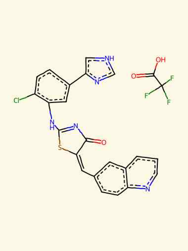 O=C(O)C(F)(F)F.O=C1N=C(Nc2cc(-c3c[nH]cn3)ccc2Cl)SC1=Cc1ccc2ncccc2c1